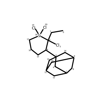 CCC1(Cl)C(C23CC4CC(CC(C4)C2)C3)CCC[Si]1(Cl)Cl